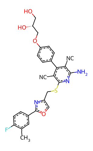 [C-]#[N+]c1c(N)nc(SCc2coc(-c3ccc(F)c(C)c3)n2)c(C#N)c1-c1ccc(OC[C@H](O)CO)cc1